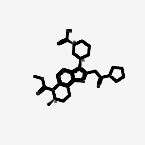 COC(=O)N1c2ccc3c(nc(CC(=O)N4CCCC4)n3[C@@H]3CCC[C@@H](C(=O)O)C3)c2CC[C@@H]1C